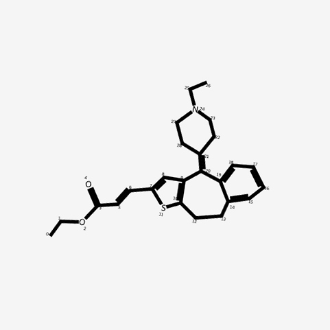 CCOC(=O)/C=C/c1cc2c(s1)CCc1ccccc1C2=C1CCN(CC)CC1